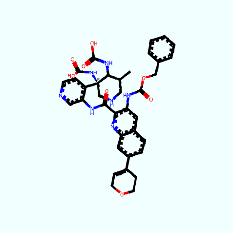 CC1CNC[C@](NC(=O)O)(c2ccncc2NC(=O)c2nc3cc(C4=CCOCC4)ccc3cc2NC(=O)OCc2ccccc2)C1NC(=O)O